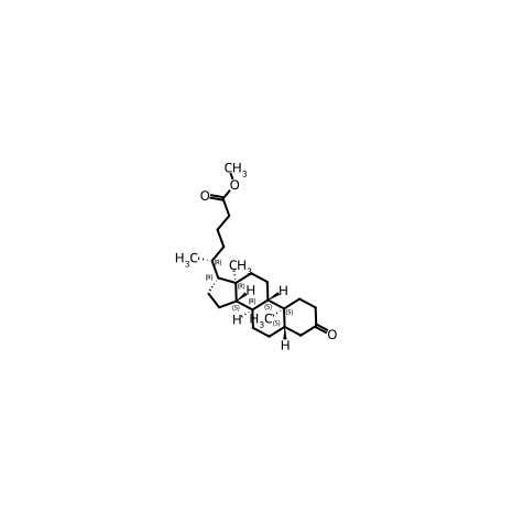 COC(=O)CCC[C@@H](C)[C@H]1CC[C@H]2[C@@H]3CC[C@H]4CC(=O)CC[C@]4(C)[C@H]3CC[C@]12C